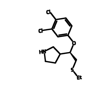 CCSC[C@H](Oc1ccc(Cl)c(Cl)c1)C1CCNC1